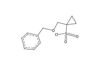 O=S(=O)(Cl)C1(COCc2ccccc2)CC1